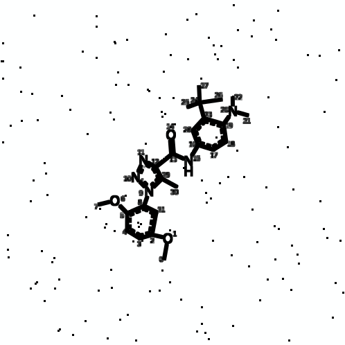 COc1ccc(OC)c(-n2nnc(C(=O)Nc3ccc(N(C)C)c(C(C)(C)C)c3)c2C)c1